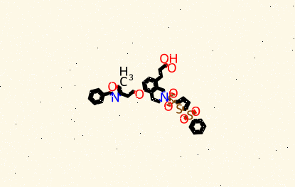 Cc1oc(-c2ccccc2)nc1CCOc1ccc(CCC(=O)O)c2c1CCN(S(=O)(=O)c1ccc(S(=O)(=O)c3ccccc3)s1)C2